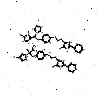 COC(=O)C(C)(Cc1ccc(OCCc2nc(-c3ccccc3)oc2C)cc1)n1ccc(Br)c1.Cc1nnc([C@H](Cc2ccc(OCCc3nc(-c4ccccc4)oc3C)cc2)n2cccc2)[nH]1